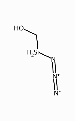 [N-]=[N+]=N[SiH2]CO